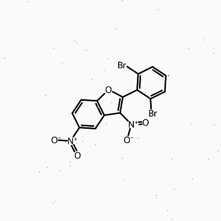 O=[N+]([O-])c1ccc2oc(-c3c(Br)c[c]cc3Br)c([N+](=O)[O-])c2c1